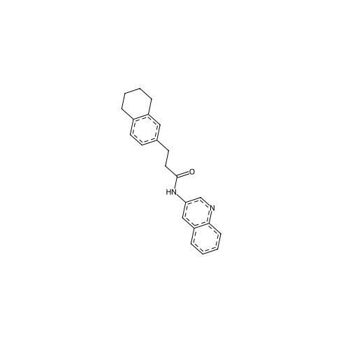 O=C(CCc1ccc2c(c1)CCCC2)Nc1cnc2ccccc2c1